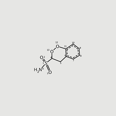 NS(=O)(=O)C1Cc2ccccc2OO1